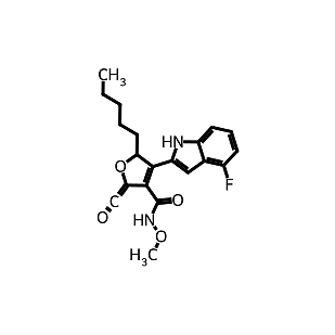 CCCCCC1OC(=C=O)C(C(=O)NOC)=C1c1cc2c(F)cccc2[nH]1